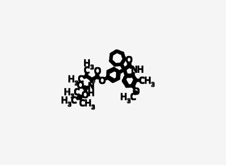 COc1ccc2c(c1C)NC(=O)C2(c1ccc(OC(=O)[C@@H](NC(=O)OC(C)(C)C)C(C)C)cc1)C1CCCCCC1